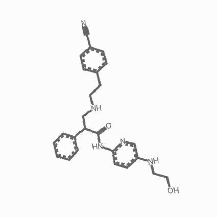 N#Cc1ccc(CCNCC(C(=O)Nc2ccc(NCCO)cn2)c2ccccc2)cc1